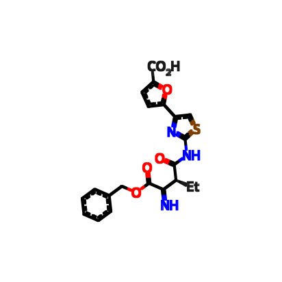 CC[C@@H](C(=N)C(=O)OCc1ccccc1)C(=O)Nc1nc(-c2ccc(C(=O)O)o2)cs1